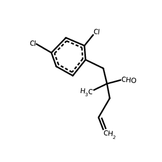 C=CCC(C)(C=O)Cc1ccc(Cl)cc1Cl